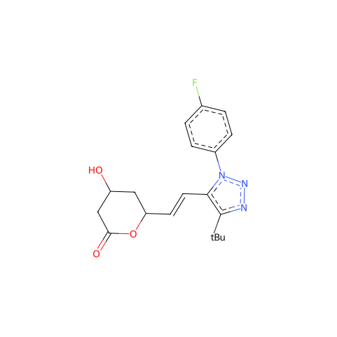 CC(C)(C)c1nnn(-c2ccc(F)cc2)c1C=CC1CC(O)CC(=O)O1